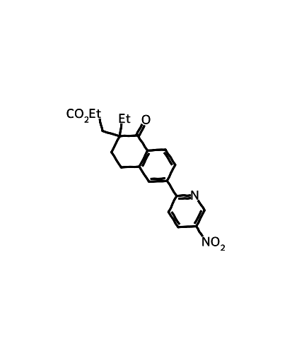 CCOC(=O)CC1(CC)CCc2cc(-c3ccc([N+](=O)[O-])cn3)ccc2C1=O